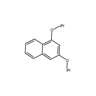 CC(C)Oc1[c]c(OC(C)C)c2ccccc2c1